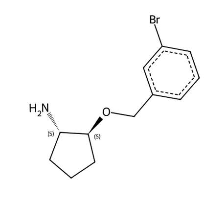 N[C@H]1CCC[C@@H]1OCc1cccc(Br)c1